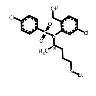 CCSCCC[C@@H](C)N(c1cc(Cl)ccc1CO)S(=O)(=O)c1ccc(Cl)cc1